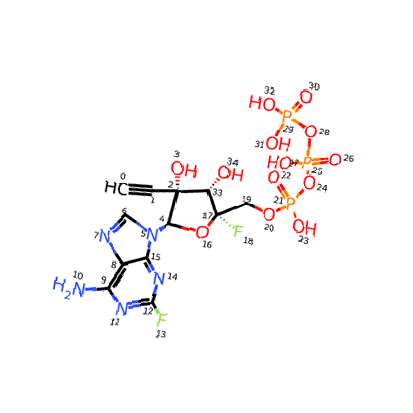 C#C[C@]1(O)[C@H](n2cnc3c(N)nc(F)nc32)O[C@](F)(COP(=O)(O)OP(=O)(O)OP(=O)(O)O)[C@H]1O